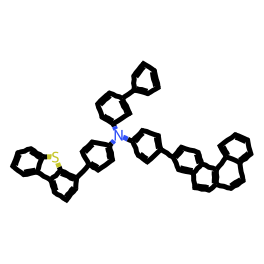 c1ccc(-c2cccc(N(c3ccc(-c4ccc5c(ccc6ccc7ccccc7c65)c4)cc3)c3ccc(-c4cccc5c4sc4ccccc45)cc3)c2)cc1